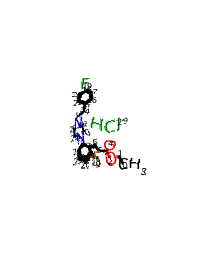 CCOC(=O)c1cc2c(N3CCN(CCc4ccc(F)cc4)CC3)cccc2s1.Cl